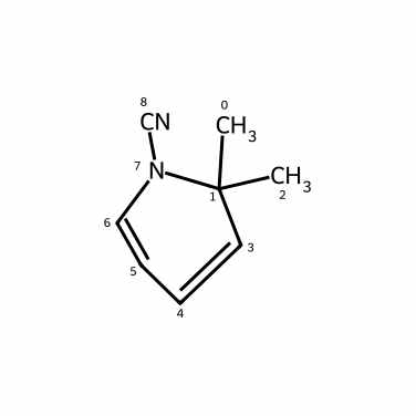 CC1(C)C=CC=CN1C#N